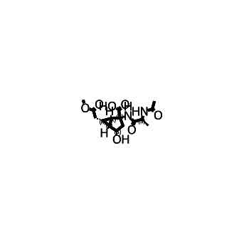 COC(=O)C[C@H]1[C@H]2[C@@H]1[C@](NC(=O)[C@H](C)NC(C)=O)(C(=O)O)C[C@@H]2O